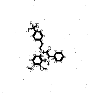 CNC(C(=O)N(CCc1ccc(C(F)(F)F)cc1)c1ccc(OC)c(OC)c1)c1ccccc1